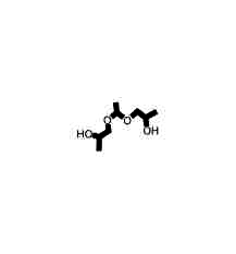 CC(O)COC(C)OCC(C)O